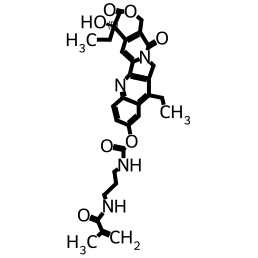 C=C(C)C(=O)NCCCNC(=O)Oc1ccc2nc3c(c(CC)c2c1)Cn1c-3cc2c(c1=O)COC(=O)[C@@]2(O)CC